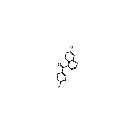 O=C(c1ccc(F)cc1)c1ccnc2cc(Cl)ccc12